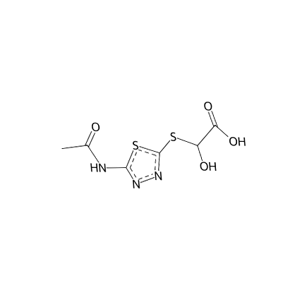 CC(=O)Nc1nnc(SC(O)C(=O)O)s1